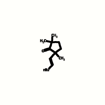 CCCCC=CC1(C)CCC(C)(C)C1=O